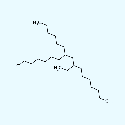 CCCCCCCC([CH]C(CCCCCC)CCCCCCC)CC